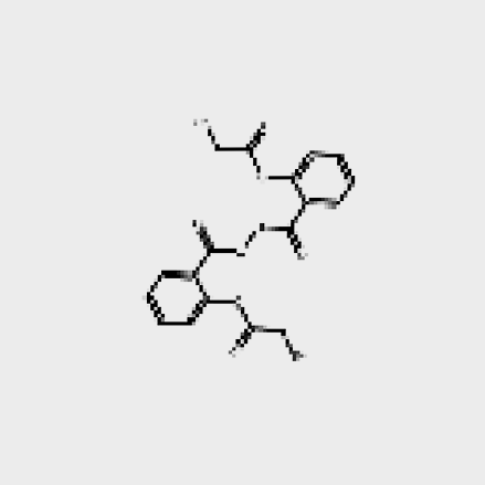 CC(C)CC(=O)Oc1ccccc1C(=O)OOC(=O)c1ccccc1OC(=O)CC(C)C